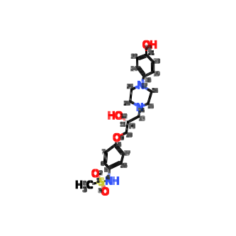 CS(=O)(=O)Nc1ccc(OC[C@H](O)CN2CCN(c3ccc(O)cc3)CC2)cc1